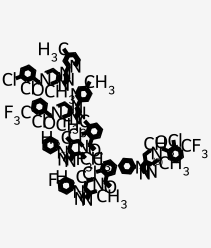 CC1CN(C(=O)c2cccc(C(F)(F)F)c2Cl)C(C)c2nnn(-c3ccc(F)cc3)c21.CC1CN(C(=O)c2cccc(C(F)(F)F)c2Cl)C(C)c2nnn(-c3ccccc3)c21.CC1Cc2c(nnn2-c2ccccc2)[C@H](C)N1C(=O)c1cccc(C(F)(F)F)c1Cl.Cc1ccc(-n2nnc3c2CCN(C(=O)c2cccc(C(F)(F)F)c2Cl)C3C)nc1.Cc1ccnc(-n2nnc3c2CCN(C(=O)c2cccc(Cl)c2Cl)C3C)c1